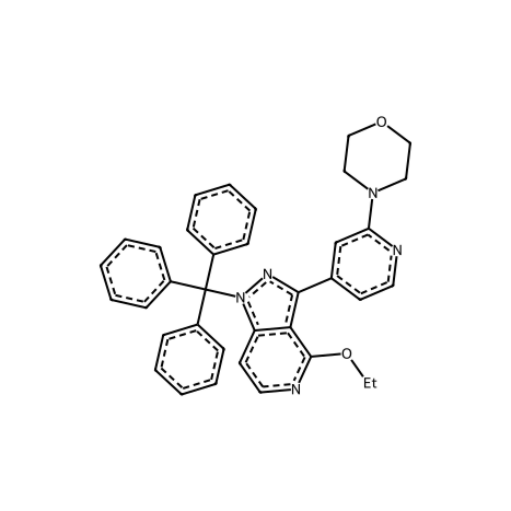 CCOc1nccc2c1c(-c1ccnc(N3CCOCC3)c1)nn2C(c1ccccc1)(c1ccccc1)c1ccccc1